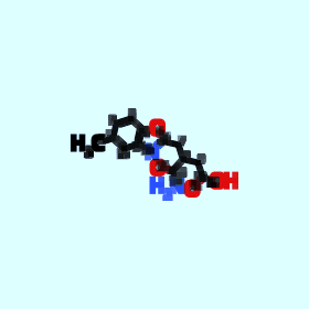 Cc1ccc2oc(CC(CC(=O)O)C(N)=O)nc2c1